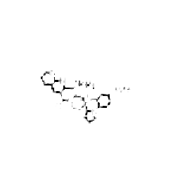 COc1ccc2c(c1)NC1(CCN(C(=O)c3cc4cccnc4nc3CN=[N+]=[N-])CC1)c1cccn1-2